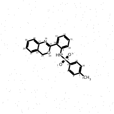 Cc1ccc(S(=O)(=O)Nc2ccccc2C2=Nc3ccccc3CO2)cc1